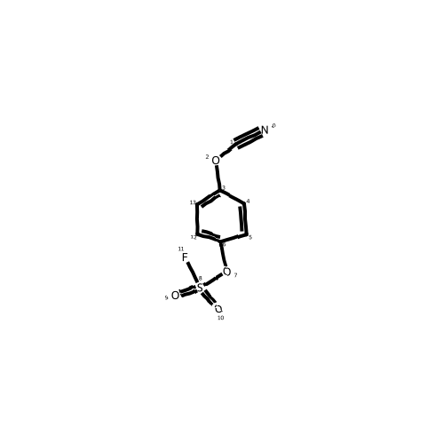 N#COc1ccc(OS(=O)(=O)F)cc1